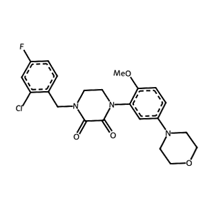 COc1ccc(N2CCOCC2)cc1N1CCN(Cc2ccc(F)cc2Cl)C(=O)C1=O